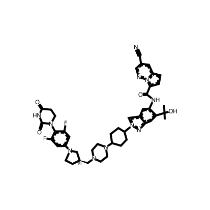 CC(C)(O)c1cc2nn(C3CCC(N4CCN(C[C@H]5CCN(c6cc(F)c(N7CCC(=O)NC7=O)c(F)c6)C5)CC4)CC3)cc2cc1NC(=O)c1ccc2cc(C#N)cnn12